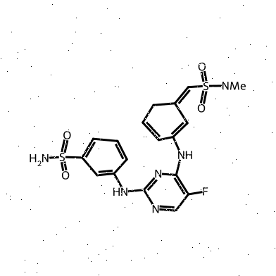 CNS(=O)(=O)C=C1C=C(Nc2nc(Nc3cccc(S(N)(=O)=O)c3)ncc2F)C=CC1